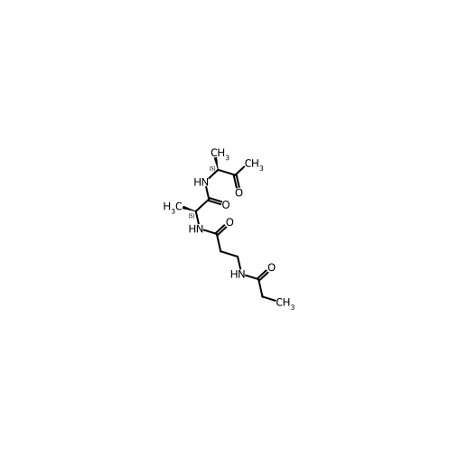 CCC(=O)NCCC(=O)N[C@@H](C)C(=O)N[C@@H](C)C(C)=O